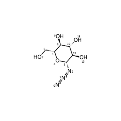 [N-]=[N+]=N[C@@H]1O[C@H](CO)[C@@H](O)[C@H](O)[C@H]1O